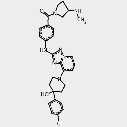 CNC1CCN(C(=O)c2ccc(Nc3nc4c(N5CCC(O)(c6ccc(Cl)cc6)CC5)cccn4n3)cc2)C1